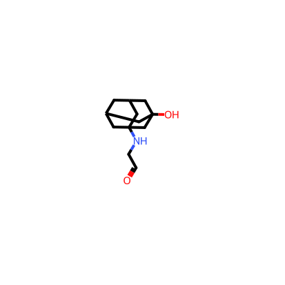 O=CCNC12CC3CC(CC(O)(C3)C1)C2